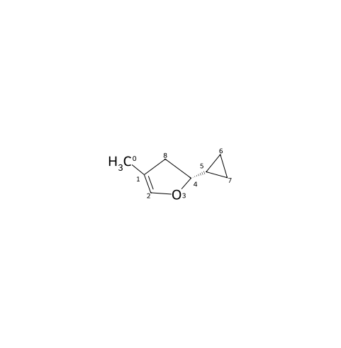 CC1=CO[C@@H](C2CC2)C1